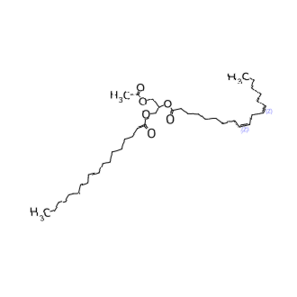 CCCCC/C=C\C/C=C\CCCCCCCC(=O)OC(COC(C)=O)COC(=O)CCCCCCCCCCCCCCCCC